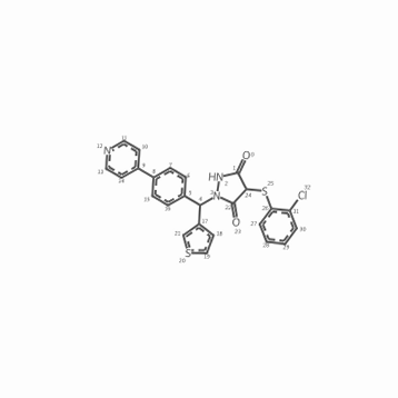 O=C1NN(C(c2ccc(-c3ccncc3)cc2)c2ccsc2)C(=O)C1Sc1ccccc1Cl